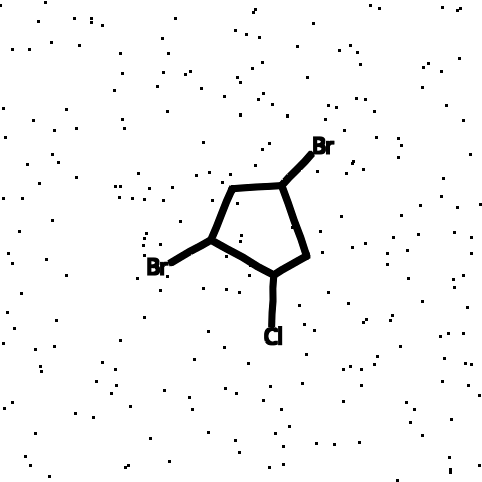 ClC1CC(Br)CC1Br